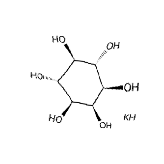 O[C@H]1[C@H](O)[C@@H](O)[C@H](O)[C@@H](O)[C@H]1O.[KH]